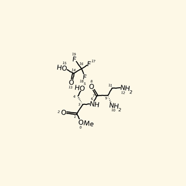 COC(=O)[C@H](CO)NC(=O)[C@@H](N)CN.O=C(O)C(F)(F)F